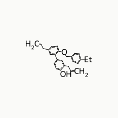 C=CCc1ccc(OCc2ccc(CC)cc2)c(-c2ccc(O)c(CC=C)c2)c1